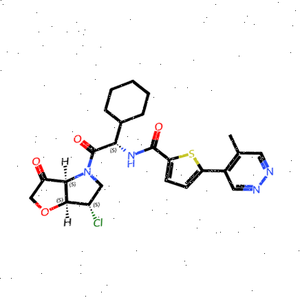 Cc1cnncc1-c1ccc(C(=O)N[C@H](C(=O)N2C[C@H](Cl)[C@H]3OCC(=O)[C@H]32)C2CCCCC2)s1